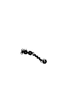 O=C(O)c1ccc(-c2ccc(OCCCCCCCCOC3CCCCO3)cc2)cc1